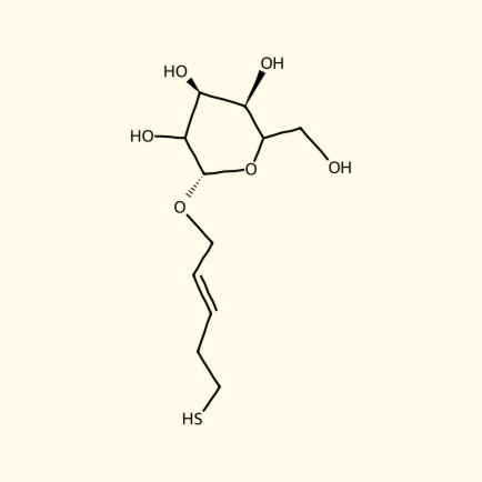 OCC1O[C@H](OC/C=C/CCS)C(O)[C@@H](O)[C@H]1O